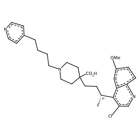 COc1ccc2ncc(Cl)c([C@H](F)CCC3(C(=O)O)CCN(CCCCc4ccncc4)CC3)c2c1